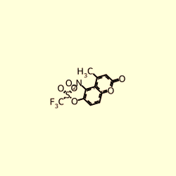 Cc1cc(=O)oc2ccc(OS(=O)(=O)C(F)(F)F)c([N+](=O)[O-])c12